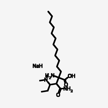 CCCCCCCCCCCCC(N)(C(=O)O)C(C(N)=O)C(CC)N(C)C.[NaH]